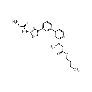 CCCCOC(=O)CN(C)c1cc(-c2cccc(-c3csc(NC(=O)CN)n3)c2)ccn1